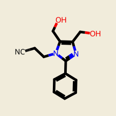 N#CCCn1c(-c2ccccc2)nc(CO)c1CO